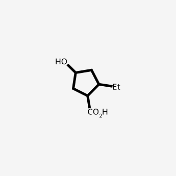 CCC1CC(O)CC1C(=O)O